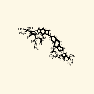 CC(C)(O)c1csc(S(N)(=O)=NC(=O)Nc2c3c(cc4c2CC(C2Cc5cc6c(c(NC(=O)N=S(N)(=O)c7scc(C(C)(C)O)c7F)c52)CCC6)C4)CCC3)c1F